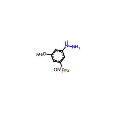 Br.COc1cc(NN)cc(OC)c1